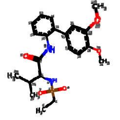 CCS(=O)(=O)N[C@H](C(=O)Nc1ccccc1-c1ccc(OC)c(OC)c1)C(C)C